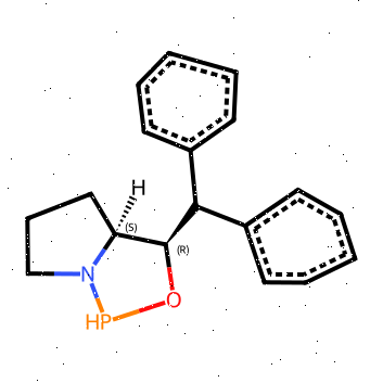 c1ccc(C(c2ccccc2)[C@H]2OPN3CCC[C@@H]23)cc1